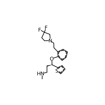 CNCC[C@@H](Oc1ccccc1CCN1CCC(F)(F)C1)c1cccs1